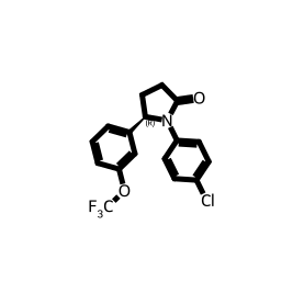 O=C1CC[C@H](c2cccc(OC(F)(F)F)c2)N1c1ccc(Cl)cc1